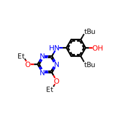 CCOc1nc(Nc2cc(C(C)(C)C)c(O)c(C(C)(C)C)c2)nc(OCC)n1